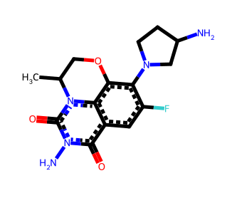 CC1COc2c(N3CCC(N)C3)c(F)cc3c(=O)n(N)c(=O)n1c23